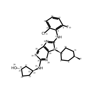 C[C@H]1CC[C@@H](n2c(Nc3c(F)cccc3Cl)nc3cnc(N[C@H]4CC[C@H](O)C4)nc32)CC1